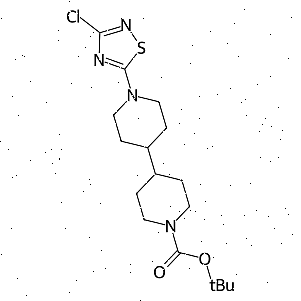 CC(C)(C)OC(=O)N1CCC(C2CCN(c3nc(Cl)ns3)CC2)CC1